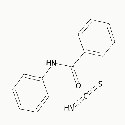 N=C=S.O=C(Nc1ccccc1)c1ccccc1